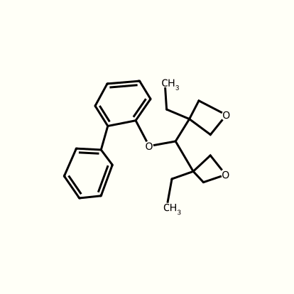 CCC1(C(Oc2ccccc2-c2ccccc2)C2(CC)COC2)COC1